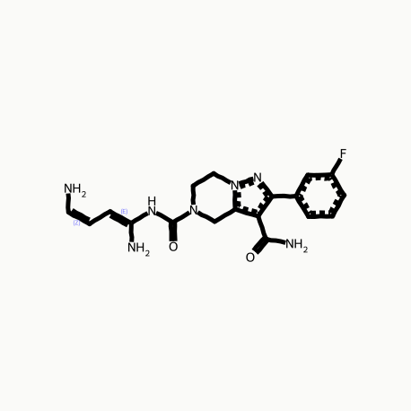 N/C=C\C=C(/N)NC(=O)N1CCn2nc(-c3cccc(F)c3)c(C(N)=O)c2C1